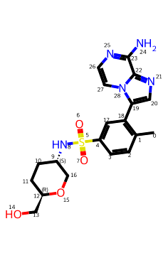 Cc1ccc(S(=O)(=O)N[C@H]2CC[C@H](CO)OC2)cc1-c1cnc2c(N)nccn12